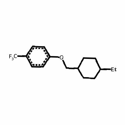 CCC1CCC(COc2ccc(C(F)(F)F)cc2)CC1